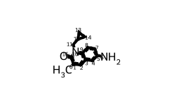 Cc1cc2cc(N)ccc2n(CC2CC2)c1=O